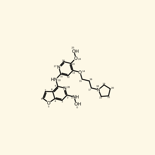 ONc1cc2occc2c(Nc2cc(OCCCN3CCCC3)c(OO)cn2)n1